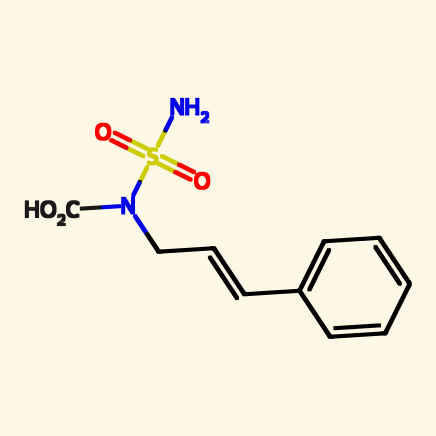 NS(=O)(=O)N(C/C=C/c1ccccc1)C(=O)O